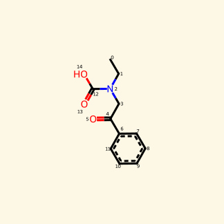 CCN(CC(=O)c1ccccc1)C(=O)O